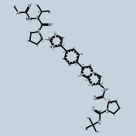 COC(=O)N[C@H](C(=O)N1CCC[C@H]1c1ncc(-c2ccc(-c3cn4cc(NC(=O)[C@@H]5CCCN5C(=O)OC(C)(C)C)nc4s3)cc2)[nH]1)C(C)C